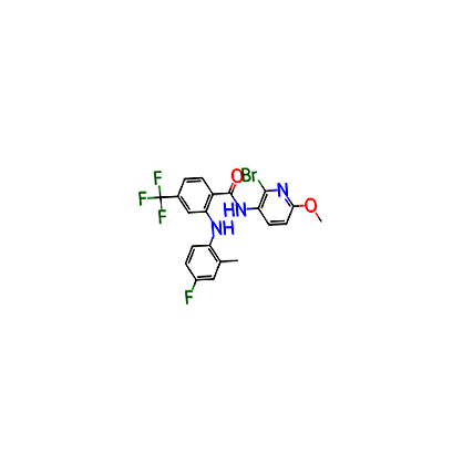 COc1ccc(NC(=O)c2ccc(C(F)(F)F)cc2Nc2ccc(F)cc2C)c(Br)n1